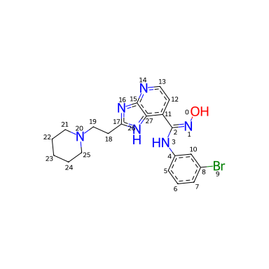 O/N=C(/Nc1cccc(Br)c1)c1ccnc2nc(CCN3CCCCC3)[nH]c12